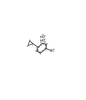 [B+2]c1ccc(C2CC2)cc1.[OH-].[OH-]